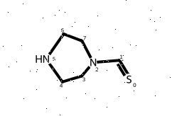 S=[C]N1CCNCC1